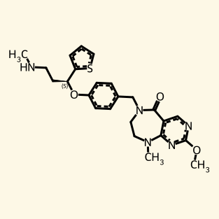 CNCC[C@H](Oc1ccc(CN2CCN(C)c3nc(OC)ncc3C2=O)cc1)c1cccs1